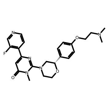 CN(C)CCOc1ccc([C@H]2CN(c3nc(-c4ccncc4F)cc(=O)n3C)CCO2)cc1